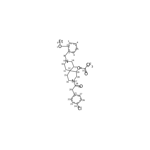 CCOc1ccccc1CN1CCC2(CC1)CCN(C(=O)Cc1ccc(Cl)cc1)CC2OC(=O)C(F)(F)F